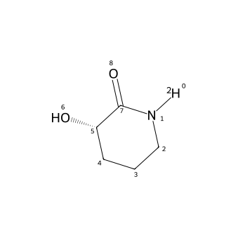 [2H]N1CCC[C@H](O)C1=O